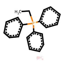 CC[P+](c1ccccc1)(c1ccccc1)c1ccccc1.[BH4-]